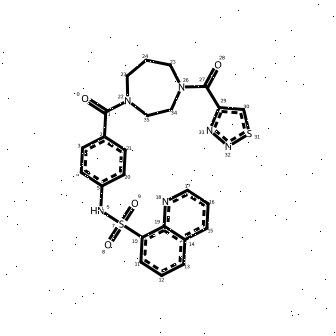 O=C(c1ccc(NS(=O)(=O)c2cccc3cccnc23)cc1)N1CCCN(C(=O)c2csnn2)CC1